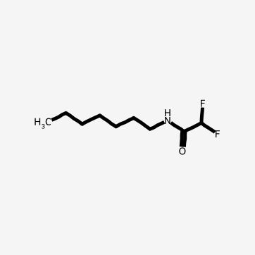 CCCCCCCNC(=O)C(F)F